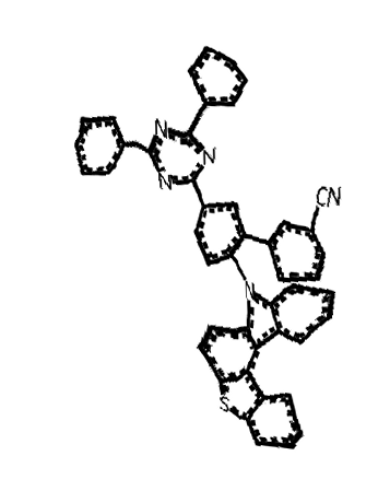 N#Cc1cccc(-c2cc(-c3nc(-c4ccccc4)nc(-c4ccccc4)n3)ccc2-n2c3ccccc3c3c4c(ccc32)sc2ccccc24)c1